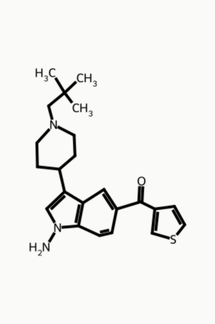 CC(C)(C)CN1CCC(c2cn(N)c3ccc(C(=O)c4ccsc4)cc23)CC1